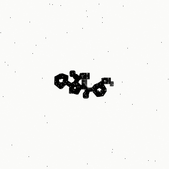 Cc1cccc(C(=O)Nc2csc(-c3ccccc3)c2C(=O)O)c1